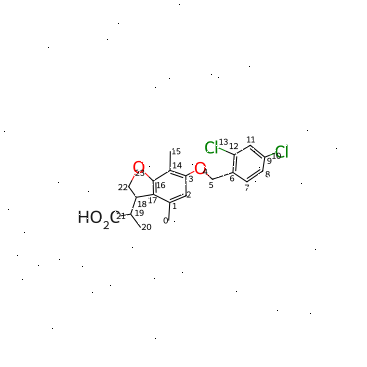 Cc1cc(OCc2ccc(Cl)cc2Cl)c(C)c2c1C(C(C)C(=O)O)CO2